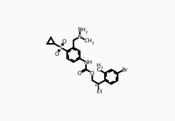 BN(C)Cc1cc(NC(=O)OC[C@H](CC)c2ccc(Br)cc2C)ccc1S(=O)(=O)C1CC1